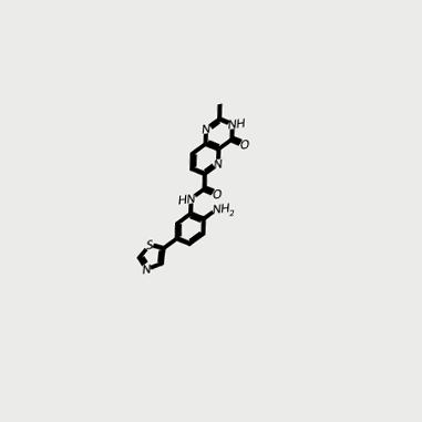 Cc1nc2ccc(C(=O)Nc3cc(-c4cncs4)ccc3N)nc2c(=O)[nH]1